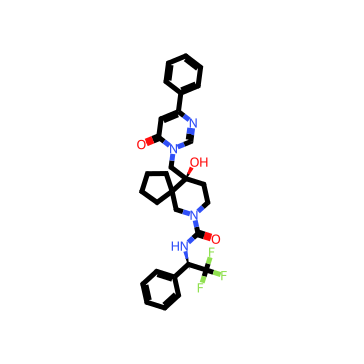 O=C(N[C@H](c1ccccc1)C(F)(F)F)N1CC[C@@](O)(Cn2cnc(-c3ccccc3)cc2=O)C2(CCCC2)C1